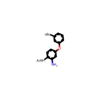 CCCCc1cccc(Oc2ccc(NC(C)=O)c(N)c2)c1